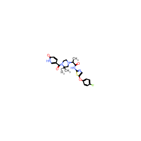 CC(C(=O)Nc1ncc(Oc2ccc(F)cc2)s1)N1CCN(C(=O)c2ccc(=O)[nH]c2)C(C)(C)C1